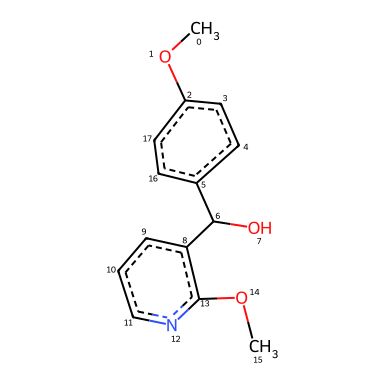 COc1ccc(C(O)c2cccnc2OC)cc1